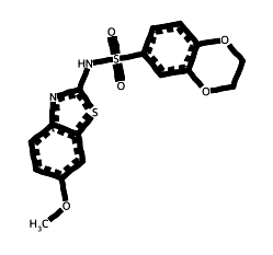 COc1ccc2nc(NS(=O)(=O)c3ccc4c(c3)OCCO4)sc2c1